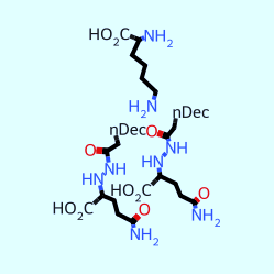 CCCCCCCCCCCC(=O)NNC(CCC(N)=O)C(=O)O.CCCCCCCCCCCC(=O)NNC(CCC(N)=O)C(=O)O.NCCCCC(N)C(=O)O